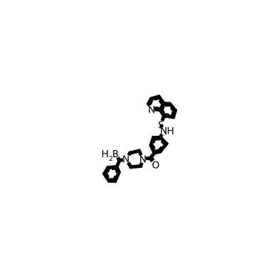 BC(c1ccccc1)N1CCN(C(=O)c2ccc(NSc3cccc4cccnc34)cc2)CC1